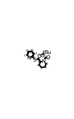 CC(C)(C)OC(=O)N1CCCCC1C(=O)Sc1ccccn1